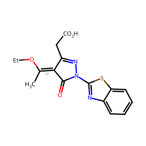 CCO/C(C)=C1/C(=O)N(c2nc3ccccc3s2)N=C1CC(=O)O